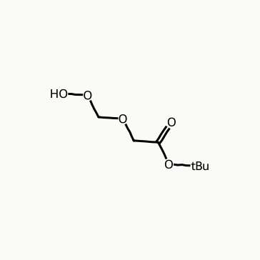 CC(C)(C)OC(=O)COCOO